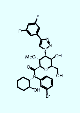 CO[C@@H]1[C@@H](n2cc(-c3cc(F)cc(F)c3)nn2)[C@@H](O)[C@@H](CO)O[C@H]1C(=O)N(c1cccc(Br)c1)[C@H]1CCCC[C@@H]1O